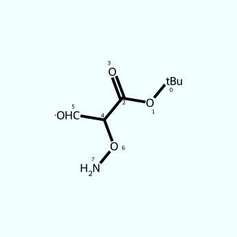 CC(C)(C)OC(=O)C([C]=O)ON